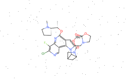 C[C@H](Oc1nc2c(F)c(Cl)ncc2c2c1cc(CN1CCOC1=O)n2C1C2CC1N(C(=O)OC(C)(C)C)C2)[C@@H]1CCCN1C